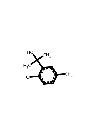 Cc1ccc(Cl)c(C(C)(C)O)c1